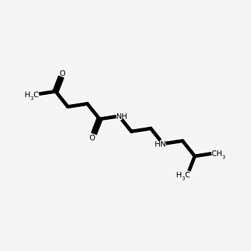 CC(=O)CCC(=O)NCCNCC(C)C